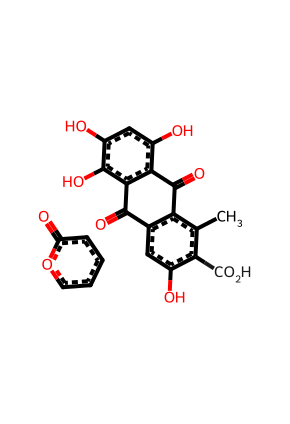 Cc1c(C(=O)O)c(O)cc2c1C(=O)c1c(O)cc(O)c(O)c1C2=O.O=c1cccco1